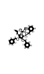 C=CC[C@@H]1[C@@H](OCc2ccccc2)[C@H](OCc2ccccc2)[C@@H](COCc2ccccc2)N1C(=O)OC(C)(C)C